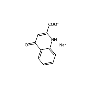 O=C([O-])c1cc(=O)c2ccccc2[nH]1.[Na+]